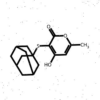 Cc1cc(O)c(SC23CC4CC(CC(C4)C2)C3)c(=O)o1